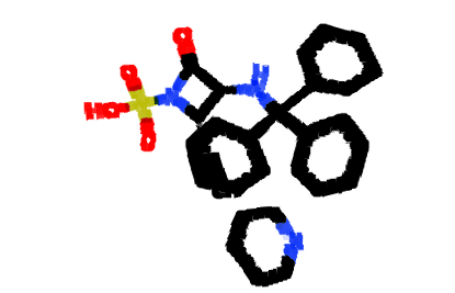 C#C[C@H]1[C@H](NC(c2ccccc2)(c2ccccc2)c2ccccc2)C(=O)N1S(=O)(=O)O.c1ccncc1